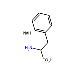 NC(Cc1ccccc1)C(=O)O.[NaH]